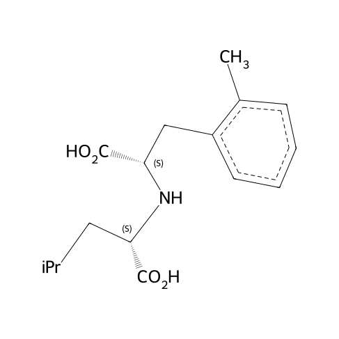 Cc1ccccc1C[C@H](N[C@@H](CC(C)C)C(=O)O)C(=O)O